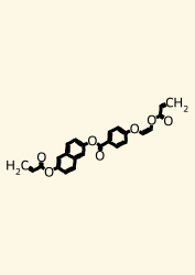 C=CC(=O)O/C=C\Oc1ccc(C(=O)Oc2ccc3cc(OC(=O)C=C)ccc3c2)cc1